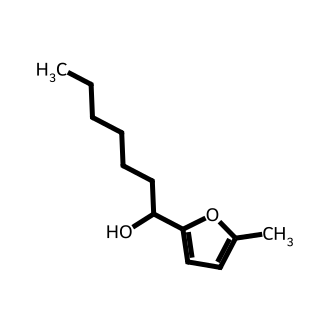 CCCCCCC(O)c1ccc(C)o1